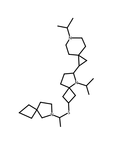 CC(C)N1CCC2(CC1)CC2C1CCC2(CC(SC(C)N3CCC4(CCC4)C3)C2)N1C(C)C